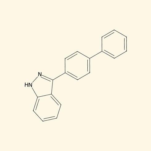 c1ccc(-c2ccc(-c3n[nH]c4ccccc34)cc2)cc1